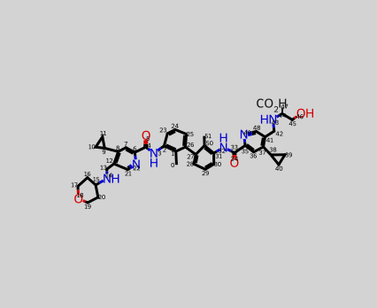 Cc1c(NC(=O)c2cc(C3CC3)c(CNC3CCOCC3)cn2)cccc1-c1cccc(NC(=O)c2cc(C3CC3)c(CN[C@H](CO)C(=O)O)cn2)c1C